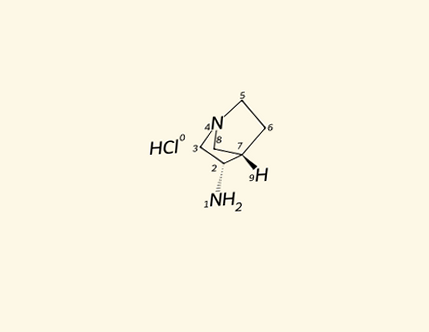 Cl.N[C@@H]1CN2CC[C@H]1C2